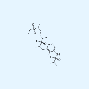 CCS(=O)(=O)C(C)CCC(C)S(=O)(=O)C(C)Cc1cccc(NS(=O)(=O)C(C)C)c1F